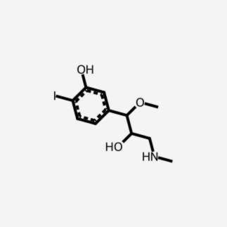 CNCC(O)C(OC)c1ccc(I)c(O)c1